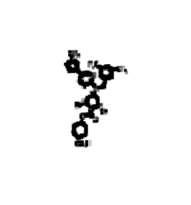 CC[C@@H]1C[C@H](N(Cc2cc(C(F)(F)F)cc(C(F)(F)F)c2)c2ncc(-c3ccn(C)c3)cn2)C[C@H](CC)N1C(=O)O[C@H]1CC[C@@H](C(=O)O)CC1